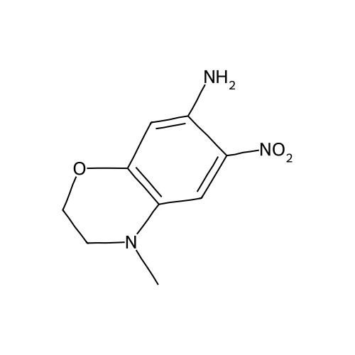 CN1CCOc2cc(N)c([N+](=O)[O-])cc21